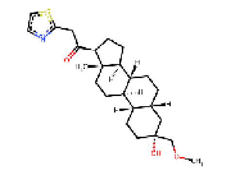 COC[C@@]1(O)CC[C@H]2[C@H](CC[C@@H]3[C@@H]2CC[C@]2(C)[C@@H](C(=O)Cc4nccs4)CC[C@@H]32)C1